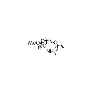 C=CC(=O)OCCC(C)(C)OS(=O)(=O)OC.N